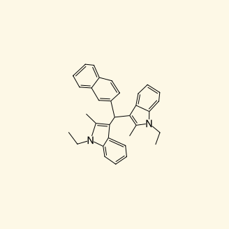 CCn1c(C)c(C(c2ccc3ccccc3c2)c2c(C)n(CC)c3ccccc23)c2ccccc21